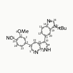 COc1cc(-c2cnc3[nH]cc(-c4ccc5ncn(C(C)(C)C)c5c4)c3c2)ccc1C#N